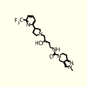 Cn1cc2c(n1)CCN(C(=O)NCC[C@@H](O)CN1CCC(c3cccc(C(F)(F)F)n3)C1)C2